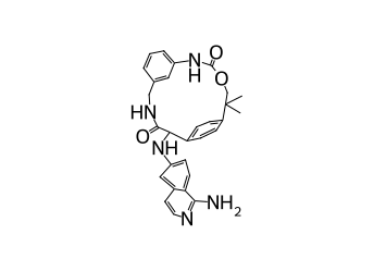 CC1(C)COC(=O)Nc2cccc(c2)CNC(=O)C(Nc2ccc3c(N)nccc3c2)c2ccc1cc2